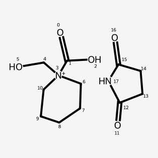 O=C(O)[N+]1(CO)CCCCC1.O=C1CCC(=O)N1